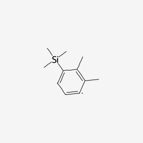 Cc1[c]ccc([Si](C)(C)C)c1C